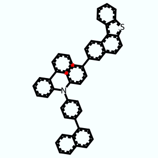 c1ccc(-c2ccccc2N(c2ccc(-c3ccc4c(ccc5sc6ccccc6c54)c3)cc2)c2ccc(-c3cccc4ccccc34)cc2)cc1